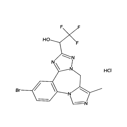 Cc1ncn2c1Cn1nc(C(O)C(F)(F)F)nc1-c1cc(Br)ccc1-2.Cl